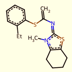 C=C(/N=c1/sc2c(n1C)CCCC2)Sc1ccccc1CC